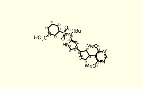 COc1ncnc(OC)c1C1COC(N2CNC(N(C(C)(C)C)S(=O)(=O)C3CCCN(C(=O)O)C3)=N2)C1